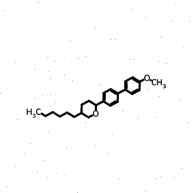 CCCCCCC1CCC(c2ccc(-c3ccc(OC)cc3)cc2)OC1